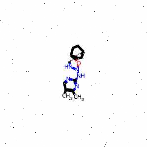 Cc1cnc(NN2NC[C@]3(CC4CCC3CC4)O2)nc1C